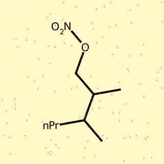 CCCC(C)C(C)CO[N+](=O)[O-]